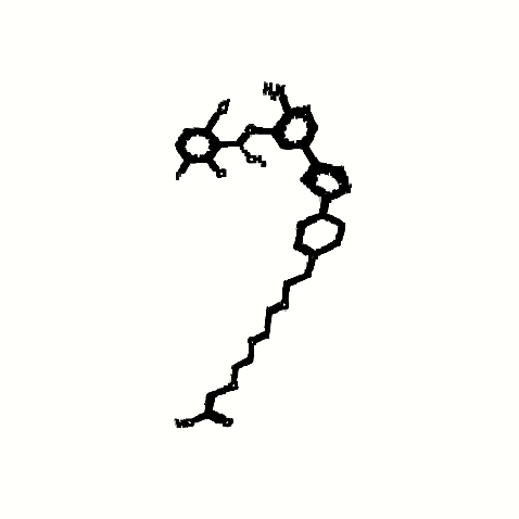 C[C@@H](Oc1cc(-c2cnn(C3CCN(CCOCCOCCOCC(=O)O)CC3)c2)cnc1N)c1c(Cl)ccc(F)c1Cl